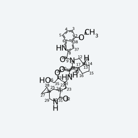 COc1cccc2[nH]c(C(=O)N3C[C@@H]4CCC[C@@H]4[C@H]3C(=O)N[C@@H](C[C@@H]3CC4(CC4)CNC3=O)C(=O)CO)cc12